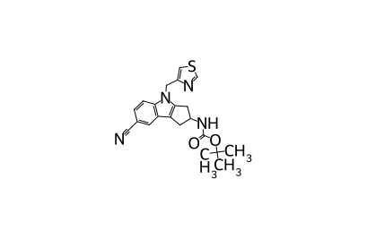 CC(C)(C)OC(=O)NC1Cc2c(n(Cc3cscn3)c3ccc(C#N)cc23)C1